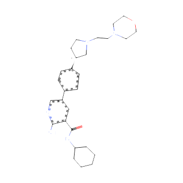 Nc1ncc(-c2ccc([C@H]3CCN(CCN4CCOCC4)C3)cc2)cc1C(=O)NC1CCCCC1